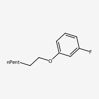 CCCCCCCOc1cccc(F)c1